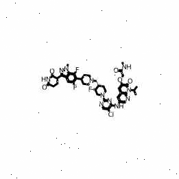 CNC(=O)COc1cc2cc(Nc3nc(N4CC[C@@H](CN5CCC(c6c(F)cc7c(C8CCC(=O)NC8=O)nn(C)c7c6F)CC5)[C@@H](F)C4)ncc3Cl)cnc2n(C(C)C)c1=O